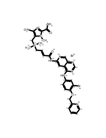 Cn1c(C(N)=O)nc([N+](=O)[O-])c1C[N+](C)(C)C/C=C/C(=O)Nc1cc2c(Nc3ccc(OCc4ccccn4)c(Br)c3)ncnc2cn1.[Br-]